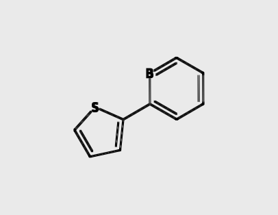 b1ccccc1-c1cccs1